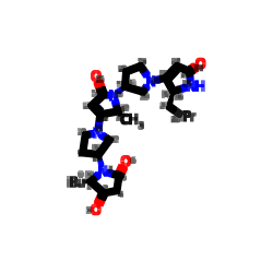 CCC(C)[C@H]1C(=O)CC(=O)N1[C@H]1CCN(C2=CC(=O)N([C@H]3CCN(C4=CC(=O)N[C@H]4CC(C)C)C3)[C@H]2C)C1